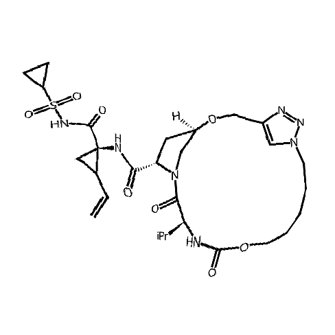 C=CC1C[C@]1(NC(=O)[C@@H]1C[C@@H]2CN1C(=O)[C@H](C(C)C)NC(=O)OCCCCCn1cc(nn1)CO2)C(=O)NS(=O)(=O)C1CC1